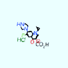 Cl.O=C(O)Oc1cn(C2CC2)c2cc(N3CCNCC3)c(F)cc2c1=O